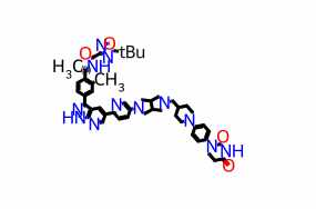 Cc1cc(-c2n[nH]c3ncc(-c4ccc(N5CC6CN(CC7CCN(c8ccc(N9CCC(=O)NC9=O)cc8)CC7)CC6C5)cn4)cc23)ccc1[C@@H](C)NC(=O)c1noc(C(C)(C)C)n1